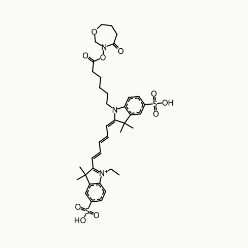 CC[N+]1=C(/C=C/C=C/C=C2/N(CCCCCC(=O)ON3COCCCC3=O)c3ccc(S(=O)(=O)O)cc3C2(C)C)C(C)(C)c2cc(S(=O)(=O)O)ccc21